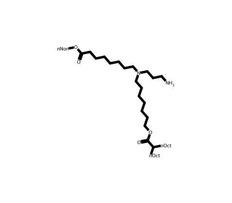 CCCCCCCCCOC(=O)CCCCCCCN(CCCN)CCCCCCCOC(=O)C(CCCCCCCC)CCCCCCCC